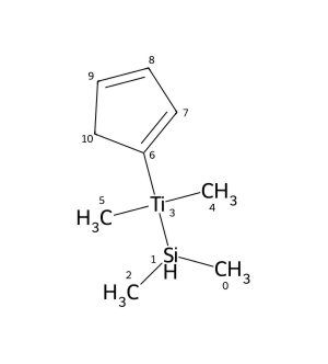 C[SiH](C)[Ti]([CH3])([CH3])[C]1=CC=CC1